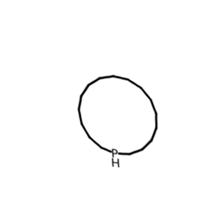 C1CCCCCCCCPCCCCCCC1